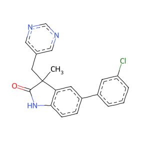 CC1(Cc2cncnc2)C(=O)Nc2ccc(-c3cccc(Cl)c3)cc21